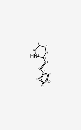 C(=CC1CCCCN1)c1cccs1